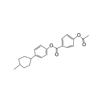 CC(=O)Oc1ccc(C(=O)Oc2ccc(C3CCC(C)CC3)cc2)cc1